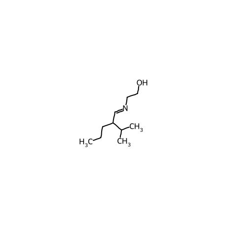 CCCC(/C=N/CCO)C(C)C